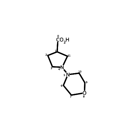 O=C(O)C1CCN(N2CCOCC2)C1